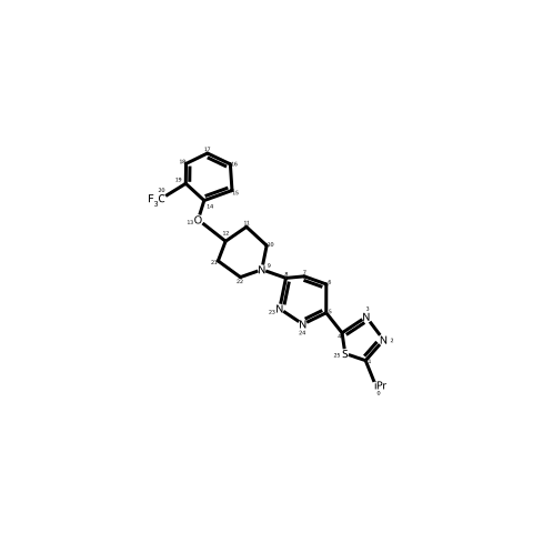 CC(C)c1nnc(-c2ccc(N3CCC(Oc4ccccc4C(F)(F)F)CC3)nn2)s1